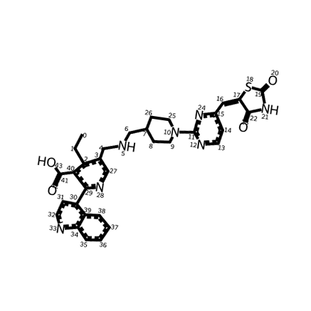 CCc1c(CNCC2CCN(c3nccc(C=C4SC(=O)NC4=O)n3)CC2)cnc(-c2ccnc3ccccc23)c1C(=O)O